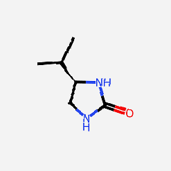 CC(C)[C@@H]1CNC(=O)N1